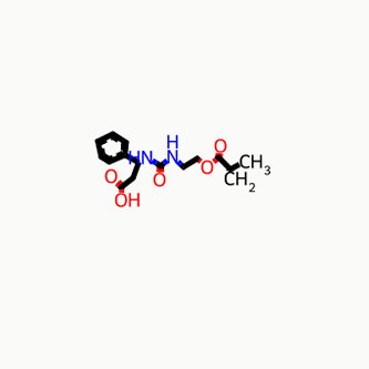 C=C(C)C(=O)OCCNC(=O)NC(CC(=O)O)c1ccccc1